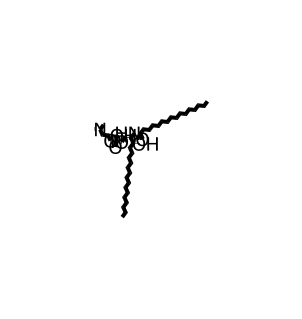 CCCCCCCCCCCCCCCC(=O)N[C@@H](COP(=O)(O)OCCN(C)C)[C@H](O)CCCCCCCCCCCCCCC